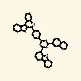 c1ccc2cc(-c3nc(-c4ccc(-c5nc6ccccc6c6c5sc5ccccc56)cc4)nc(-c4cccc5c4sc4ccccc45)n3)ccc2c1